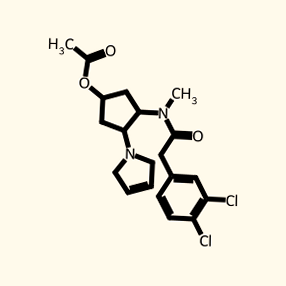 CC(=O)OC1CC(N2CC=CC2)C(N(C)C(=O)Cc2ccc(Cl)c(Cl)c2)C1